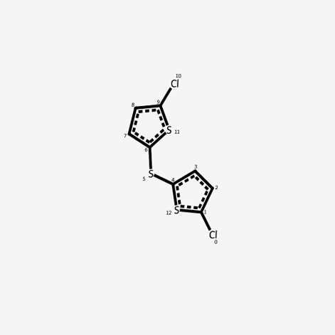 Clc1ccc(Sc2ccc(Cl)s2)s1